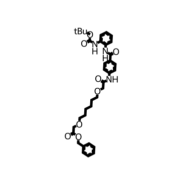 CC(C)(C)OC(=O)Nc1ccccc1NC(=O)c1ccc(NC(=O)COCCCCCCOCC(=O)OCc2ccccc2)cc1